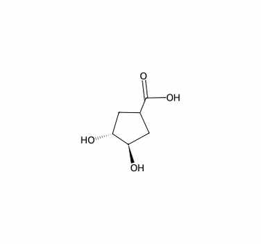 O=C(O)C1C[C@@H](O)[C@H](O)C1